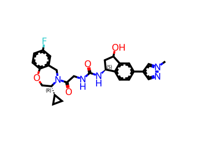 Cn1cc(-c2ccc3c(c2)C(O)C[C@@H]3NC(=O)NCC(=O)N2Cc3cc(F)ccc3OC[C@H]2C2CC2)cn1